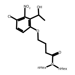 CCCCCCN(CCCCCC)C(=O)CCCOc1ccc(Cl)c([N+](=O)[O-])c1C(C)O